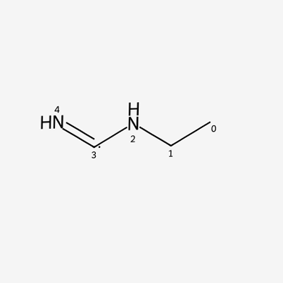 CCN[C]=N